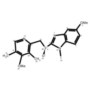 COc1ccc2c(c1)nc([S@@+]([O-])Cc1ncc(C)c(OC)c1C)n2I